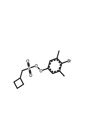 Cc1cc(OOS(=O)(=O)CC2CCC2)cc(C)c1Br